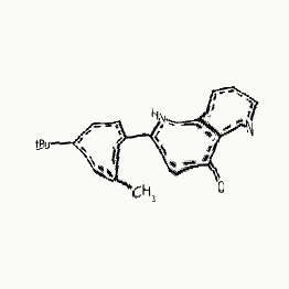 Cc1cc(C(C)(C)C)ccc1-c1cc(=O)c2ncccc2[nH]1